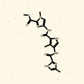 COC(=O)c1nc(NC(=O)c2[nH]cc(NC(=O)c3nc(C)c[nH]3)c2C)cn1C